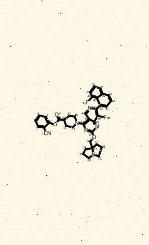 N#Cc1ccccc1OC(=O)C1CCN(c2nc(OCC34CCCN3CCC4)nc3c(F)c(-c4cccc5cccc(F)c45)ncc23)CC1